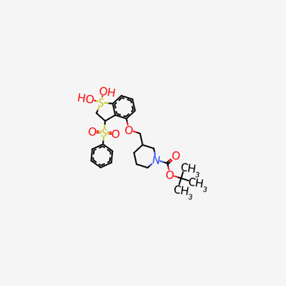 CC(C)(C)OC(=O)N1CCCC(COc2cccc3c2C(S(=O)(=O)c2ccccc2)CS3(O)O)C1